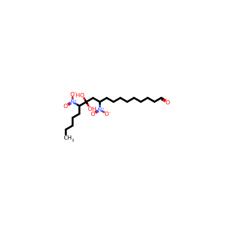 CCCCCC([N+](=O)[O-])C(O)(O)CC(CCCCCCCCC=O)[N+](=O)[O-]